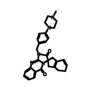 CN1CCN(c2ccc(CN3C(=O)C4(CC5=C(CCC=C5)C4)n4c3nc3ccccc3c4=O)cc2)CC1